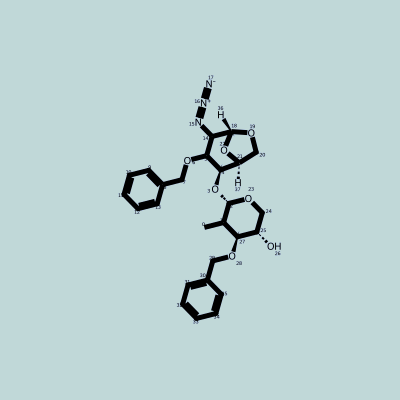 CC1[C@H](O[C@H]2C(OCc3ccccc3)C(N=[N+]=[N-])[C@@H]3OC[C@@H]2O3)OC[C@H](O)[C@H]1OCc1ccccc1